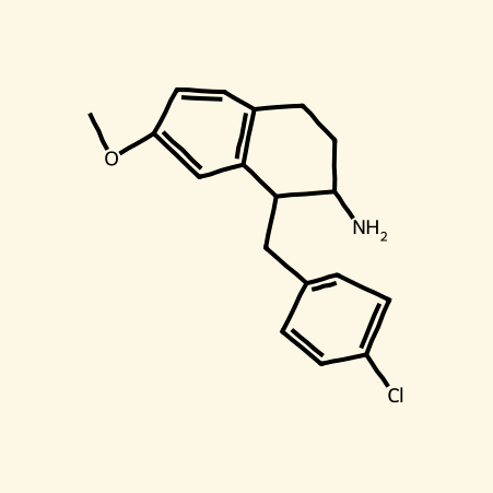 COc1ccc2c(c1)C(Cc1ccc(Cl)cc1)C(N)CC2